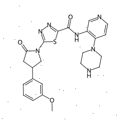 COc1cccc(C2CC(=O)N(c3nnc(C(=O)Nc4cnccc4N4CCNCC4)s3)C2)c1